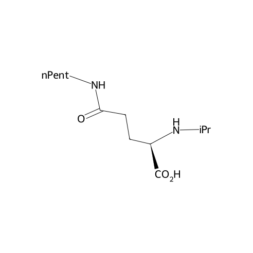 CCCCCNC(=O)CC[C@@H](NC(C)C)C(=O)O